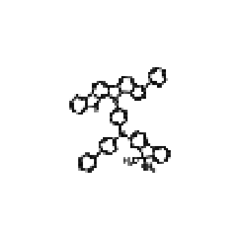 CC1(C)c2ccccc2-c2ccc(N(c3ccc(-c4ccccc4)cc3)c3ccc(-n4c5c(ccc6c5ccn6-c5ccccc5)c5ccc6c7ccccc7sc6c54)cc3)cc21